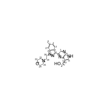 Cc1ccc2c(-c3cnc4[nH]cc(C(=O)O)c4n3)nn(CCN3CCOCC3)c2c1